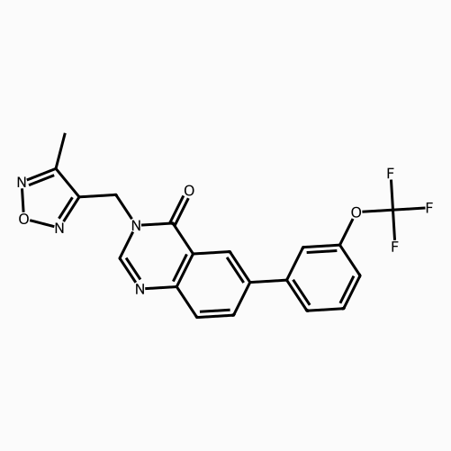 Cc1nonc1Cn1cnc2ccc(-c3cccc(OC(F)(F)F)c3)cc2c1=O